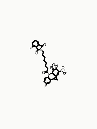 O=C1c2cccc(F)c2C(=O)N1CCCCCCCC(=O)N(c1ccc(F)cc1C1CC1)c1ccc([N+](=O)[O-])c2nonc12